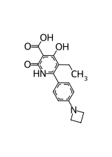 CCc1c(-c2ccc(N3CCC3)cc2)[nH]c(=O)c(C(=O)O)c1O